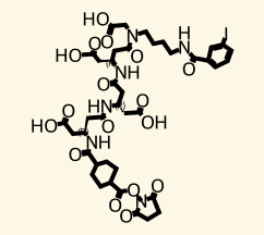 O=C(O)C[C@@H](CC(=O)N[C@@H](CC(=O)O)CC(=O)N(CCCCNC(=O)c1cccc(I)c1)CC(=O)O)NC(=O)C[C@H](CC(=O)O)NC(=O)C1CCC(C(=O)ON2C(=O)CCC2=O)CC1